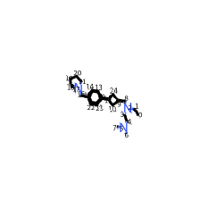 CCN(CCN(C)C)CC1CC(c2ccc(CN3CCCC3)cc2)C1